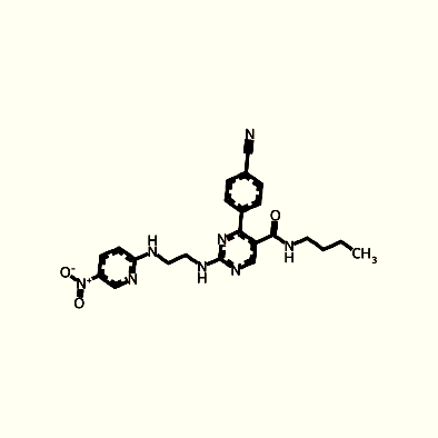 CCCCNC(=O)c1cnc(NCCNc2ccc([N+](=O)[O-])cn2)nc1-c1ccc(C#N)cc1